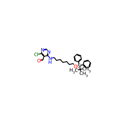 CC(C)(C)[Si](OCCCCCCCNc1ncnc(Cl)c1C=O)(c1ccccc1)c1ccccc1